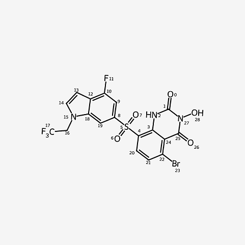 O=c1[nH]c2c(S(=O)(=O)c3cc(F)c4ccn(CC(F)(F)F)c4c3)ccc(Br)c2c(=O)n1O